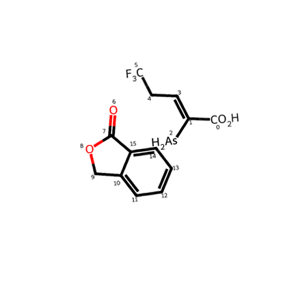 O=C(O)C([AsH2])=CCC(F)(F)F.O=C1OCc2ccccc21